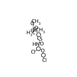 COCCS(=O)(=O)C(C)(C)c1ccc2sc(C(=O)Nc3cc(Cl)cc(Oc4ccc(Cl)cc4)c3)cc2c1